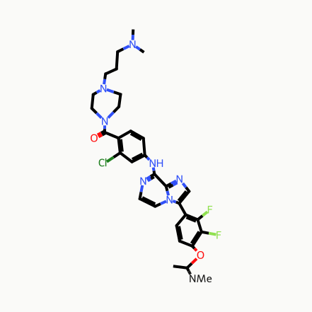 CNC(C)Oc1ccc(-c2cnc3c(Nc4ccc(C(=O)N5CCN(CCCN(C)C)CC5)c(Cl)c4)nccn23)c(F)c1F